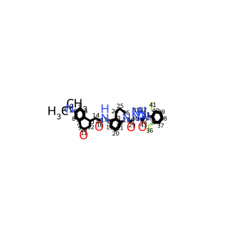 CN(C)c1ccc2c(c1)CC(=O)CC2CC(=O)Nc1cccc2c1CCCN2C(=O)n1nnn(-c2c(F)cccc2F)c1=O